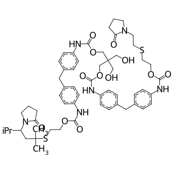 CC(C)C(CC(C)(C)SCCOC(=O)Nc1ccc(Cc2ccc(NC(=O)OCC(CO)(CO)COC(=O)Nc3ccc(Cc4ccc(NC(=O)OCCSCCN5CCCC5=O)cc4)cc3)cc2)cc1)N1CCCC1=O